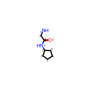 [NH]CC(=O)NC1CCCC1